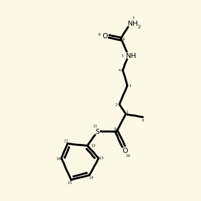 CC(CCCNC(N)=O)C(=O)Sc1ccccc1